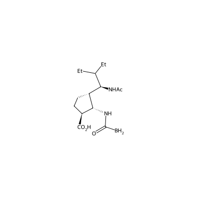 BC(=O)N[C@H]1[C@@H]([C@H](NC(C)=O)C(CC)CC)CC[C@@H]1C(=O)O